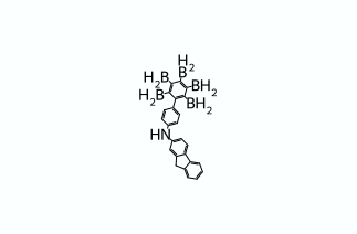 Bc1c(B)c(B)c(-c2ccc(Nc3ccc4c(c3)Cc3ccccc3-4)cc2)c(B)c1B